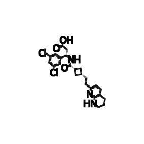 O=C(O)C[C@H](NC(=O)[C@H]1C[C@@H](CCc2ccc3c(n2)NCCC3)C1)c1cc(Cl)cc(Cl)c1